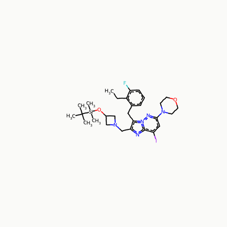 CCc1c(F)cccc1Cc1c(CN2CC(O[Si](C)(C)C(C)(C)C)C2)nc2c(I)cc(N3CCOCC3)nn12